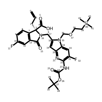 C=CC[C@@]1(C(=O)O)c2ccc(F)cc2C(=O)N1Cc1cc2nc(NC(=O)OC(C)(C)C)c(F)cc2n1COCC[Si](C)(C)C